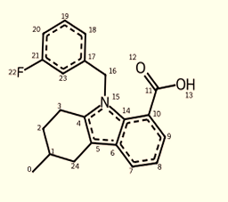 CC1CCc2c(c3cccc(C(=O)O)c3n2Cc2cccc(F)c2)C1